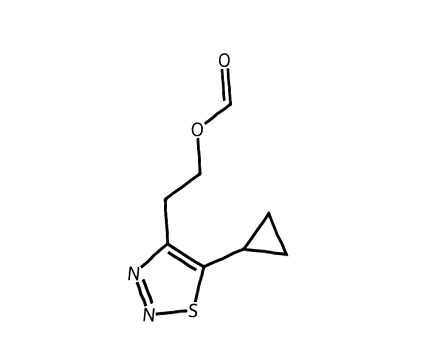 O=COCCc1nnsc1C1CC1